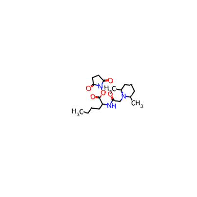 CCCCC(NC(=O)CN1C(C)CCCC1C)C(=O)ON1C(=O)CCC1=O